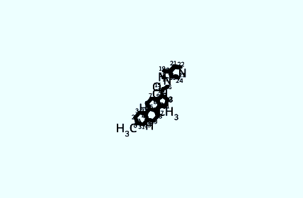 C[C@H]1CC[C@@H]2C3CC[C@@]4(C)C(CC[C@@H]4C(=O)Cn4ncc5ccncc54)C3(C)CC[C@@H]2C1